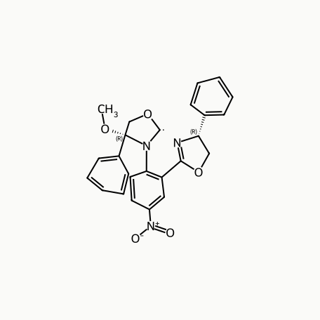 CO[C@]1(c2ccccc2)CO[CH]N1c1ccc([N+](=O)[O-])cc1C1=N[C@H](c2ccccc2)CO1